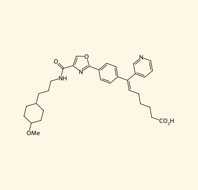 COC1CCC(CCCNC(=O)c2coc(-c3ccc(C(=CCCCCC(=O)O)c4cccnc4)cc3)n2)CC1